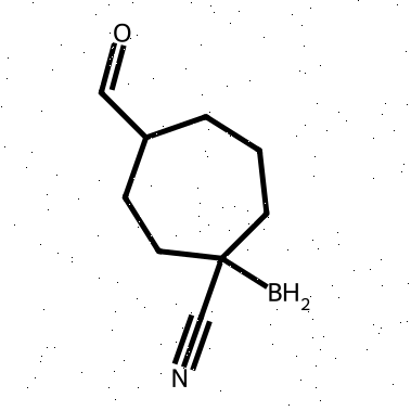 BC1(C#N)CCCC(C=O)CC1